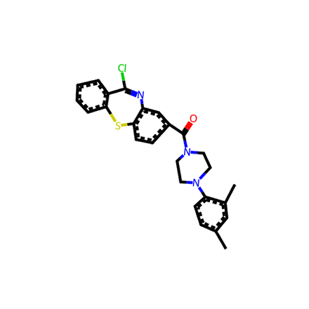 Cc1ccc(N2CCN(C(=O)c3ccc4c(c3)N=C(Cl)c3ccccc3S4)CC2)c(C)c1